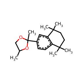 CC1COC(C)(c2ccc3c(c2)C(C)(C)CCC3(C)C)O1